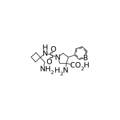 NCC1(NS(=O)(=O)N2CC(c3cbccc3)C(N)(C(=O)O)C2)CCC1